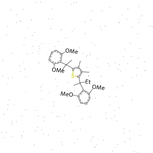 CCC(C)(c1sc(C(C)(C)c2c(OC)cccc2OC)c(C)c1C)c1c(OC)cccc1OC